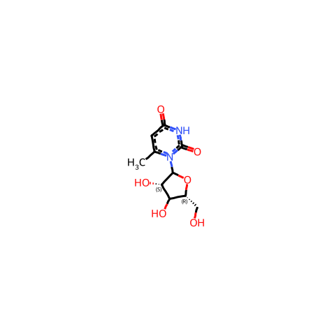 Cc1cc(=O)[nH]c(=O)n1C1O[C@H](CO)C(O)[C@@H]1O